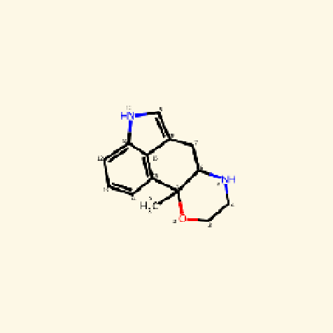 CC12OCCNC1Cc1c[nH]c3cccc2c13